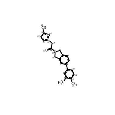 Cc1cc(-c2ccc3c(c2)CN(C(=O)Cn2cnc(C#N)n2)C3)ccc1C(F)(F)F